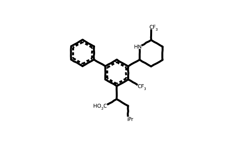 CC(C)CC(C(=O)O)c1cc(-c2ccccc2)cc(C2CCCC(C(F)(F)F)N2)c1C(F)(F)F